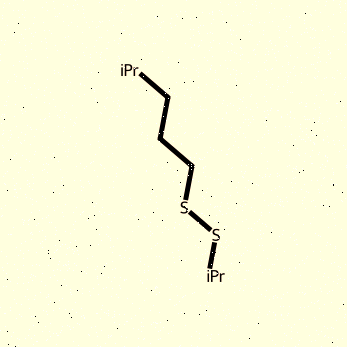 CC(C)CCCSSC(C)C